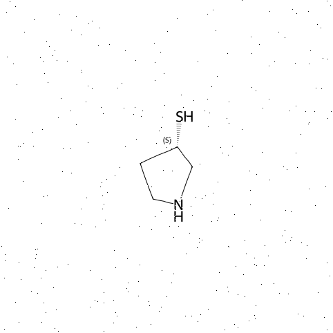 S[C@H]1CCNC1